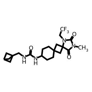 CN1C(=O)N(CC(F)(F)F)C2(CC3(CCC(NC(=O)NCC45CC(C4)C5)CC3)C2)C1=O